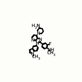 CNc1ccc(-c2nc3c(N4CCC[C@@H](N)C4)ccnc3n2-c2ccc3c(ccn3C)c2)cc1F